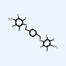 Cc1c(F)c(F)c(SCc2ccc(CSc3c(F)c(F)c(C)c(F)c3F)cc2)c(F)c1F